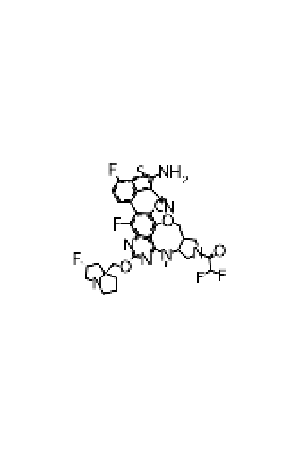 CN1c2nc(OC[C@@]34CCCN3C[C@H](F)C4)nc3c(F)c(-c4ccc(F)c5sc(N)c(C#N)c45)c(Cl)c(c23)OCC2CN(C(=O)C(F)F)CC21